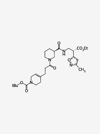 CCOC(=O)[C@@H](CNC(=O)[C@@H]1CCCN(C(=O)CCC2=CCN(C(=O)OC(C)(C)C)CC2)C1)c1cc(C)no1